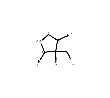 FCC1(F)C(F)CSC1F